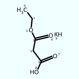 CCOC(=O)CC(=O)O.[KH]